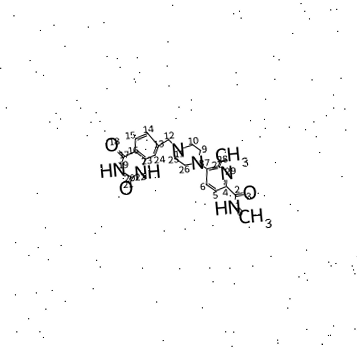 CNC(=O)c1ccc(N2CCN(Cc3ccc4c(=O)[nH]c(=O)[nH]c4c3)CC2)c(C)n1